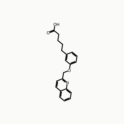 O=C(O)CCCCc1cccc(OCc2ccc3ccccc3n2)c1